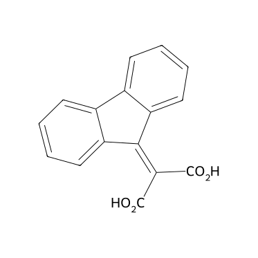 O=C(O)C(C(=O)O)=C1c2ccccc2-c2ccccc21